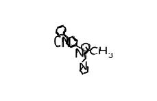 Cc1oc(-c2ccc(-c3ccccc3C#N)cc2)nc1CCN1CCCC1